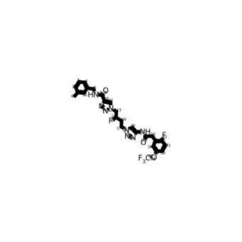 Cc1cccc(CNC(=O)c2cn(CC(F)CCn3cc(NC(=O)Cc4cc(OC(F)(F)F)ccc4F)nn3)nn2)c1